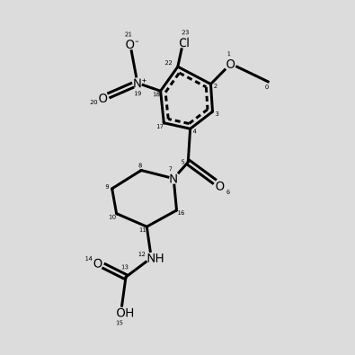 COc1cc(C(=O)N2CCCC(NC(=O)O)C2)cc([N+](=O)[O-])c1Cl